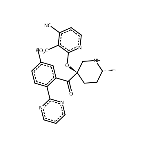 C[C@@H]1CC[C@](Oc2nccc(C#N)c2C(=O)O)(C(=O)c2cc(F)ccc2-c2ncccn2)CN1